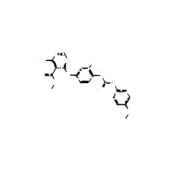 COC(=N)c1c(N)ncnc1Oc1ccc(NC(=O)Nc2ccc(OC)cc2)c(Cl)c1